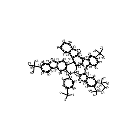 CC(C)(C)c1ccc(N2B3c4sc5cc6c(cc5c4-n4c5ccc(C(C)(C)C)cc5c5c7oc8ccccc8c7c(c3c54)-c3cc4sc5cc(C(C)(C)C)ccc5c4cc32)C(C)(C)CCC6(C)C)cc1